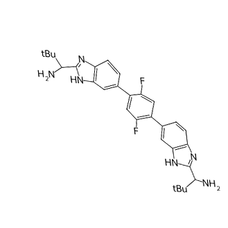 CC(C)(C)C(N)c1nc2ccc(-c3cc(F)c(-c4ccc5nc(C(N)C(C)(C)C)[nH]c5c4)cc3F)cc2[nH]1